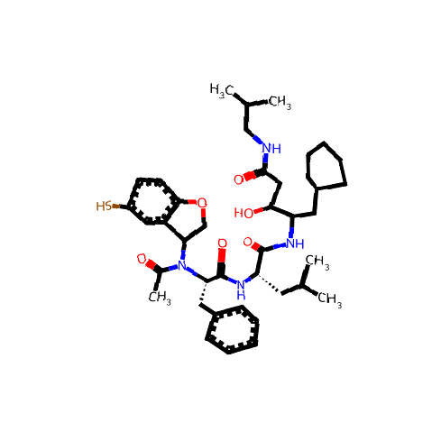 CC(=O)N(C1COc2ccc(S)cc21)[C@@H](Cc1ccccc1)C(=O)N[C@@H](CC(C)C)C(=O)NC(CC1CCCCC1)C(O)CC(=O)NCC(C)C